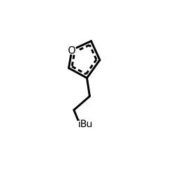 [CH2]CC(C)CCc1ccoc1